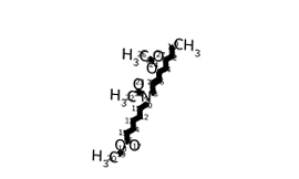 CCCCCC(/C=C/CN(CCCCCCC(=O)OCC)C(C)=O)OC(C)=O